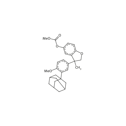 COC(=O)Oc1ccc2c(c1)C(C)(c1ccc(OC)c(C34CC5CC(CC(C5)C3)C4)c1)CO2